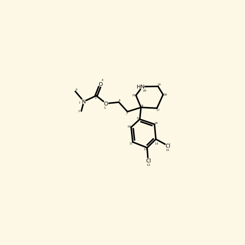 CN(C)C(=O)OCCC1(c2ccc(Cl)c(Cl)c2)CCCNC1